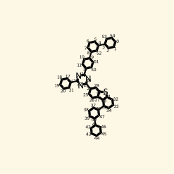 c1ccc(-c2cccc(-c3ccc(-c4nc(-c5ccccc5)nc(-c5ccc6c(c5)sc5cccc(-c7cccc(-c8ccccc8)c7)c56)n4)cc3)c2)cc1